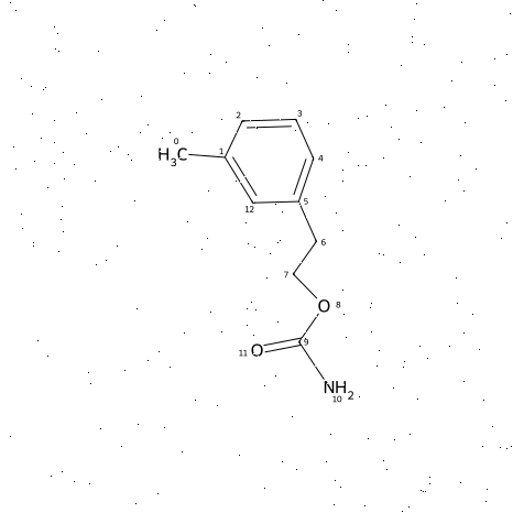 Cc1cccc(CCOC(N)=O)c1